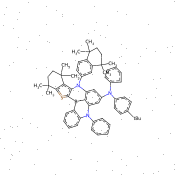 CC(C)(C)c1ccc(N(c2ccccc2)c2cc3c4c(c2)N(c2ccc5c(c2)C(C)(C)CCC5(C)C)c2c(sc5c2C(C)(C)CCC5(C)C)B4c2ccccc2N3c2ccccc2)cc1